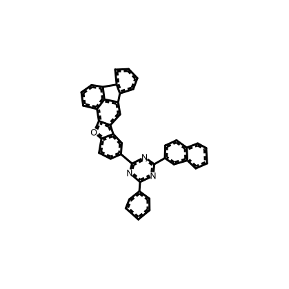 c1ccc(-c2nc(-c3ccc4ccccc4c3)nc(-c3ccc4oc5c6cccc7c6c(cc5c4c3)-c3ccccc3-7)n2)cc1